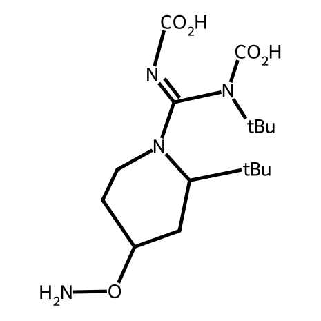 CC(C)(C)C1CC(ON)CCN1C(=NC(=O)O)N(C(=O)O)C(C)(C)C